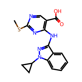 CSc1ncc(C(=O)O)c(Nc2nn(C3CC3)c3ccccc23)n1